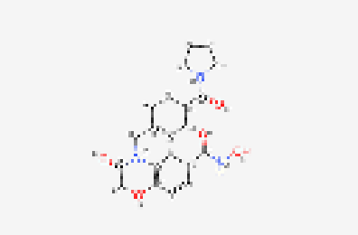 O=C(NO)C1C=CC2=C(C1)N(CC1=CCC(C(=O)N3CCCC3)CC1)C(=O)CO2